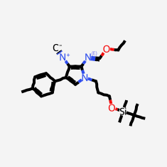 [C-]#[N+]c1c(-c2ccc(C)cc2)cn(CCCO[Si](C)(C)C(C)(C)C)c1/N=C/OCC